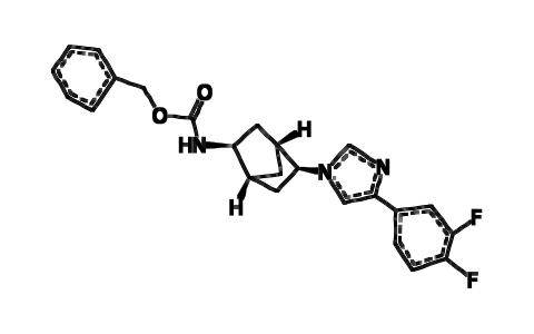 O=C(N[C@H]1C[C@H]2C[C@@H]1C[C@@H]2n1cnc(-c2ccc(F)c(F)c2)c1)OCc1ccccc1